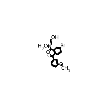 COc1cccc(C(=O)c2ccc(Br)cc2C(=O)N(C)CCO)c1